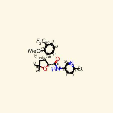 CCc1ccc(NC(=O)[C@H]2OC(C)(C)[C@H](C)[C@@H]2c2cccc(C(F)(F)F)c2OC)cn1